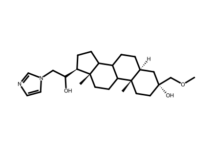 COC[C@@]1(O)CC[C@]2(C)C3CC[C@@]4(C)C(CC[C@@H]4C(O)Cn4ccnc4)C3CC[C@H]2C1